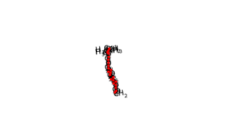 BC(C)(C)C(NC)C(=O)OCCOCCOCCOc1ccc(C(=O)Oc2ccc(-c3ccc(OCCOC(=O)C=C)cc3)cc2)cc1